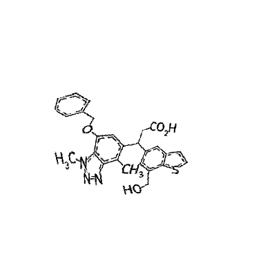 Cc1c(C(CC(=O)O)c2cc(CO)c3sccc3c2)cc(OCc2ccccc2)c2c1nnn2C